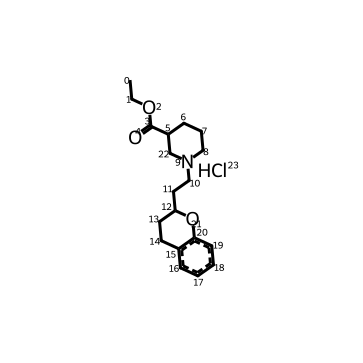 CCOC(=O)C1CCCN(CCC2CCc3ccccc3O2)C1.Cl